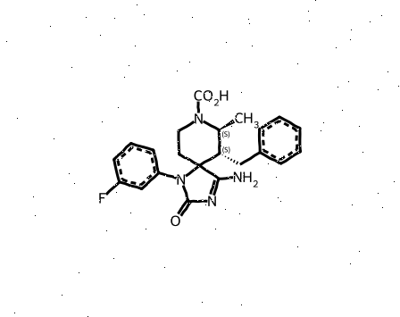 C[C@H]1[C@H](Cc2ccccc2)C2(CCN1C(=O)O)C(N)=NC(=O)N2c1cccc(F)c1